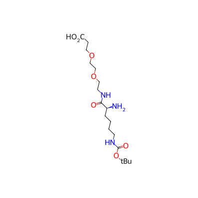 CC(C)(C)OC(=O)NCCCC[C@H](N)C(=O)NCCOCCOCCC(=O)O